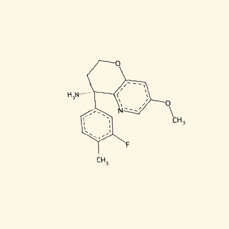 COc1cnc2c(c1)OCC[C@]2(N)c1ccc(C)c(F)c1